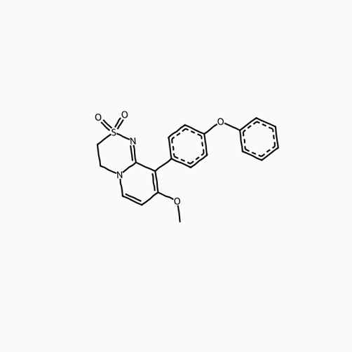 COC1=C(c2ccc(Oc3ccccc3)cc2)C2=NS(=O)(=O)CCN2C=C1